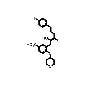 CC(CC=Cc1ccc(F)cc1)=C(O)Cc1cc(C(=O)O)ccc1OC1CCOCC1